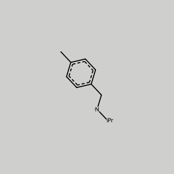 Cc1ccc(C[N]C(C)C)cc1